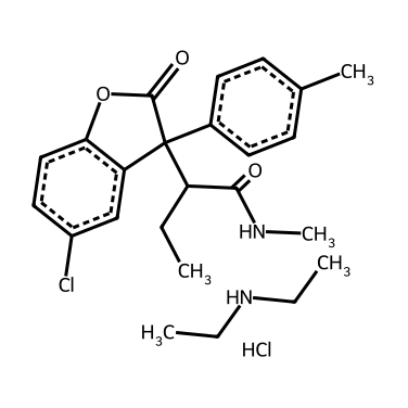 CCC(C(=O)NC)C1(c2ccc(C)cc2)C(=O)Oc2ccc(Cl)cc21.CCNCC.Cl